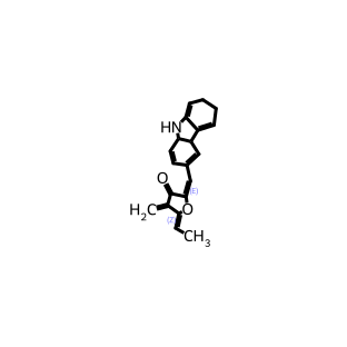 C=C1C(=O)/C(=C\C2=CC3C4=CCCC=C4NC3C=C2)O/C1=C\C